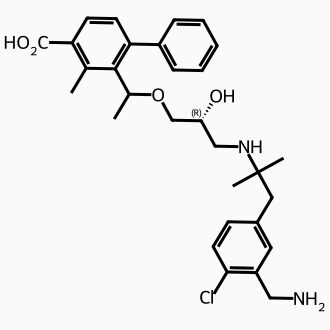 Cc1c(C(=O)O)ccc(-c2ccccc2)c1C(C)OC[C@H](O)CNC(C)(C)Cc1ccc(Cl)c(CN)c1